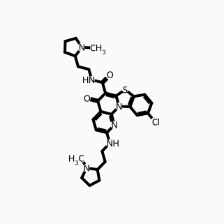 CN1CCCC1CCNC(=O)c1c(=O)c2ccc(NCCC3CCCN3C)nc2n2c1sc1ccc(Cl)cc12